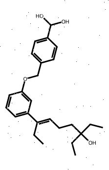 CCC(=CCCC(O)(CC)CC)c1cccc(OCc2ccc(C(O)O)cc2)c1